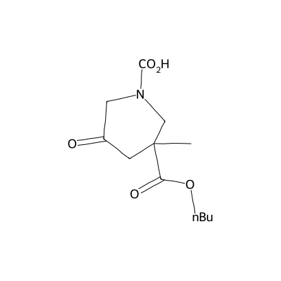 CCCCOC(=O)C1(C)CC(=O)CN(C(=O)O)C1